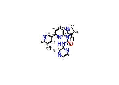 O=C(Nc1cnccn1)N1c2nc(-c3cncc(C(F)(F)F)c3)ccc2N2CC[C@H]1C2